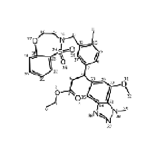 CCOC(=O)CC(c1ccc(C)c(CN2CCOc3ccccc3S2(=O)=O)c1)c1cc(OC)c2c(c1)nnn2C